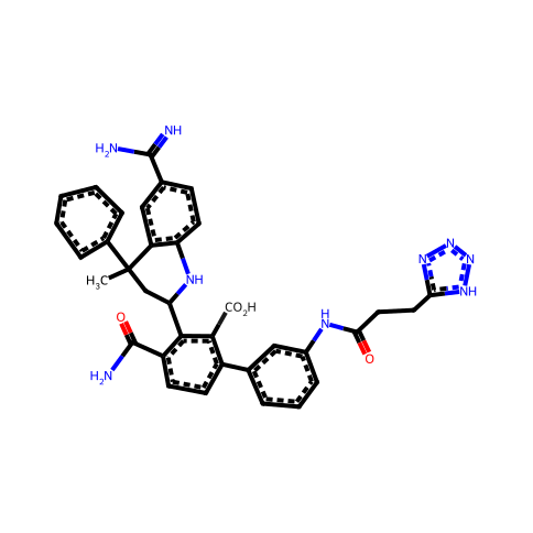 CC1(c2ccccc2)CC(c2c(C(N)=O)ccc(-c3cccc(NC(=O)CCc4nnn[nH]4)c3)c2C(=O)O)Nc2ccc(C(=N)N)cc21